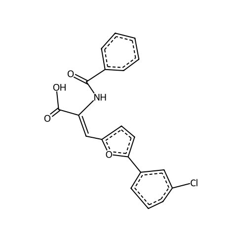 O=C(O)/C(=C/c1ccc(-c2cccc(Cl)c2)o1)NC(=O)c1ccccc1